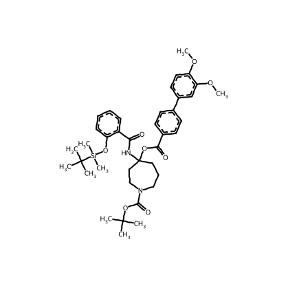 COc1ccc(-c2ccc(C(=O)OC3(NC(=O)c4ccccc4O[Si](C)(C)C(C)(C)C)CCCN(C(=O)OC(C)(C)C)CC3)cc2)cc1OC